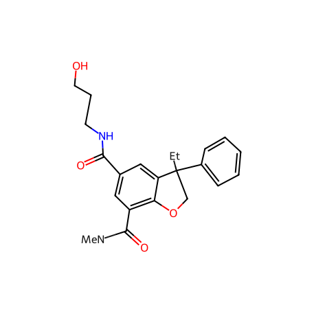 CCC1(c2ccccc2)COc2c(C(=O)NC)cc(C(=O)NCCCO)cc21